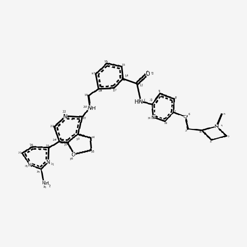 CN1CCC1COc1ccc(NC(=O)c2cccc(CNc3ncc(-c4ccnc(N)n4)c4c3CCO4)c2)nc1